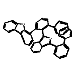 c1ccc(-c2ccccc2-c2sc(-c3c(-c4ccccc4)cccc3-c3cccc4c3oc3ccccc34)c3ccccc23)cc1